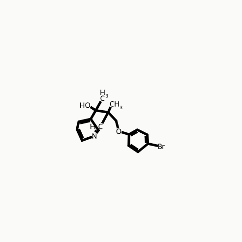 CC(C)(COc1ccc(Br)cc1)C(C)(O)c1cccnc1